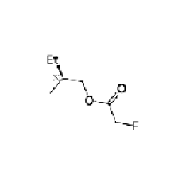 CC[C@H](C)COC(=O)CF